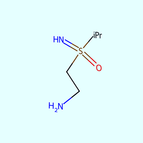 CC(C)S(=N)(=O)CCN